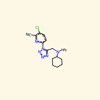 CCCN(Cc1nnnn1-c1ccc(Cl)c(C#N)n1)C1CCCCC1